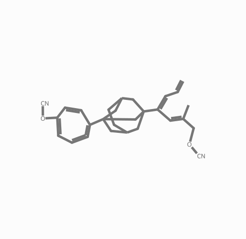 C=C/C=C(\C=C(/C)COC#N)C12CC3CCC(CC(C4=C=CC=C(OC#N)C=C4)(C3)C1)C2